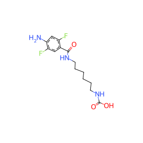 Nc1cc(F)c(C(=O)NCCCCCCNC(=O)O)cc1F